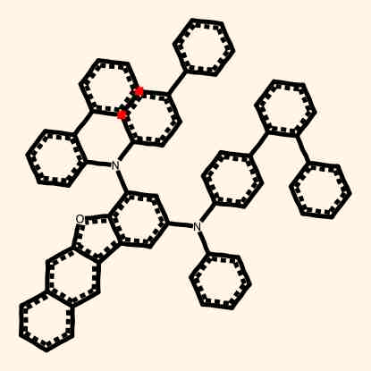 c1ccc(-c2ccc(N(c3ccccc3-c3ccccc3)c3cc(N(c4ccccc4)c4ccc(-c5ccccc5-c5ccccc5)cc4)cc4c3oc3cc5ccccc5cc34)cc2)cc1